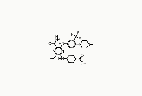 CCc1nc(C(N)=O)c(Nc2ccc(N3CCN(C)CC3)c(C(F)(F)F)c2)nc1NC1CCC(C(=O)OC)CC1